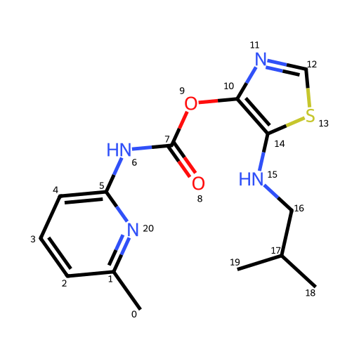 Cc1cccc(NC(=O)Oc2ncsc2NCC(C)C)n1